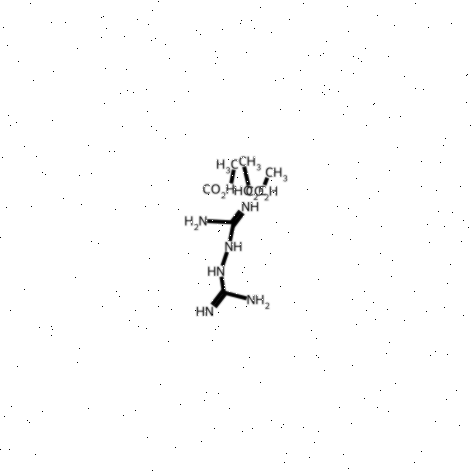 CC(=O)O.CC(=O)O.CC(=O)O.N=C(N)NNC(=N)N